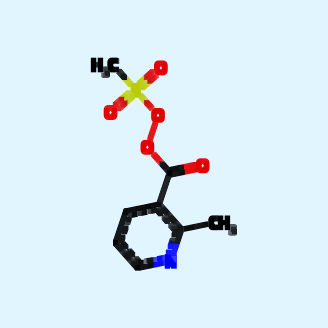 Cc1ncccc1C(=O)OOS(C)(=O)=O